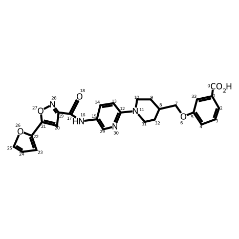 O=C(O)c1cccc(OCC2CCN(c3ccc(NC(=O)c4cc(-c5ccco5)on4)cn3)CC2)c1